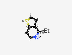 CCc1nccc2sccc12